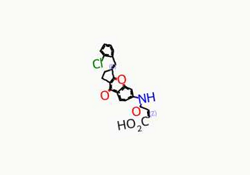 O=C(O)/C=C\C(=O)Nc1ccc2c(=O)c3c(oc2c1)/C(=C/c1ccccc1Cl)CC3